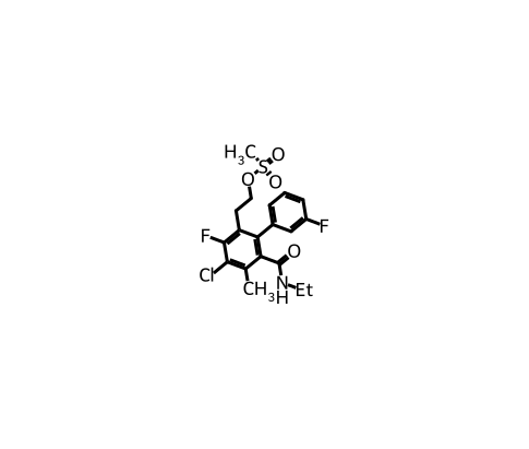 CCNC(=O)c1c(C)c(Cl)c(F)c(CCOS(C)(=O)=O)c1-c1cccc(F)c1